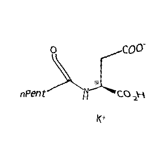 CCCCCC(=O)N[C@@H](CC(=O)[O-])C(=O)O.[K+]